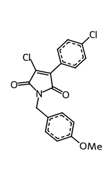 COc1ccc(CN2C(=O)C(Cl)=C(c3ccc(Cl)cc3)C2=O)cc1